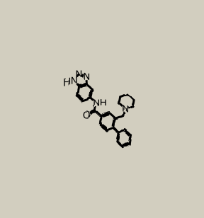 O=C(Nc1ccc2[nH]nnc2c1)c1ccc(-c2ccccc2)c(CN2CCCCC2)c1